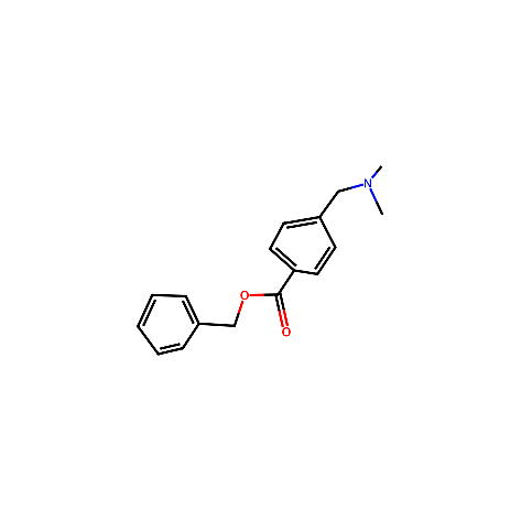 CN(C)Cc1ccc(C(=O)OCc2ccccc2)cc1